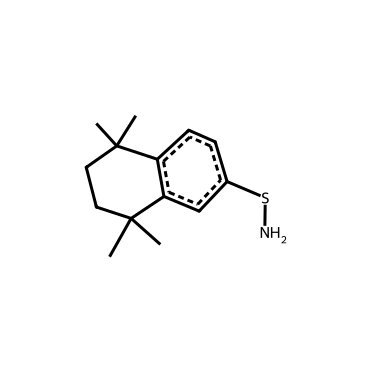 CC1(C)CCC(C)(C)c2cc(SN)ccc21